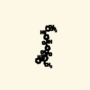 C=C(/C=C\C(=C/C)Nc1ccccc1)N1C(=O)c2ccc(C(=O)Nc3ccc(NC(=CC)/C=C\C)cc3)cc2C1=O